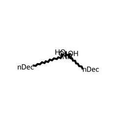 CCCCCCCCCCCCCCCCCC=CC(O)C(CO)NC(=O)CCCCCCCCCCCCCCCCCCCCCCCC